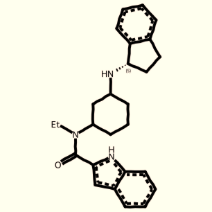 CCN(C(=O)c1cc2ccccc2[nH]1)C1CCCC(N[C@H]2CCc3ccccc32)C1